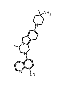 C[C@@H]1CN(c2ccc(C#N)c3ncccc23)CC2=C3CC=C(N4CCC(C)(N)CC4)C=C3CN21